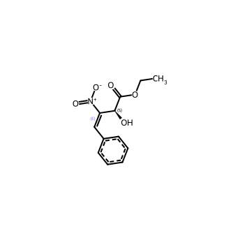 CCOC(=O)[C@@H](O)/C(=C\c1ccccc1)[N+](=O)[O-]